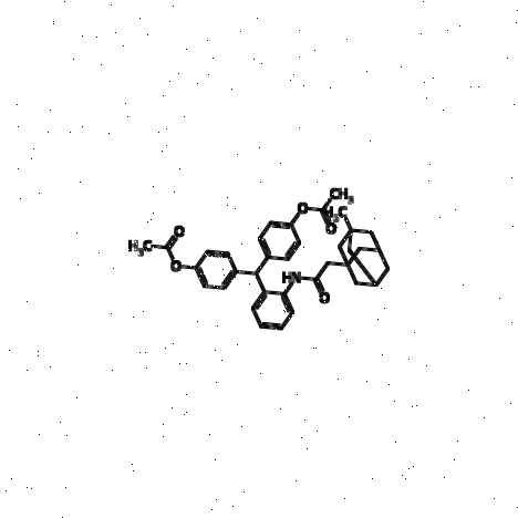 CC(=O)Oc1ccc(C(c2ccc(OC(C)=O)cc2)c2ccccc2NC(=O)CC23CC4CC(CC(C)(C4)C2)C3)cc1